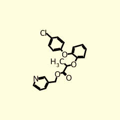 CC(Oc1ccccc1Oc1ccc(Cl)cc1)C(=O)OCc1cccnc1